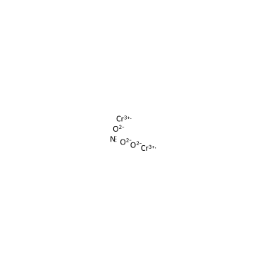 [Cr+3].[Cr+3].[N].[O-2].[O-2].[O-2]